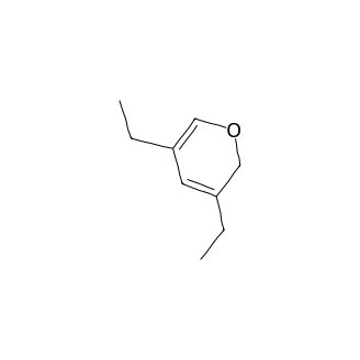 CCC1=COCC(CC)=C1